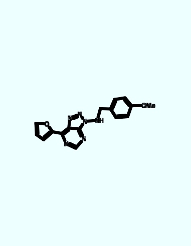 COc1ccc(CNn2nnc3c(-c4ccco4)ncnc32)cc1